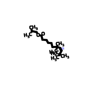 CC(C)COC(=O)CCCCCC(C)(C)/C=C\C(C)(C)C